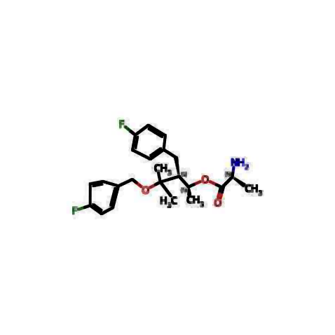 C[C@H](N)C(=O)O[C@@H](C)[C@H](Cc1ccc(F)cc1)C(C)(C)OCc1ccc(F)cc1